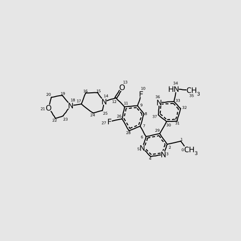 CCc1ncnc(-c2cc(F)c(C(=O)N3CCC(N4CCOCC4)CC3)c(F)c2)c1-c1ccc(NC)nc1